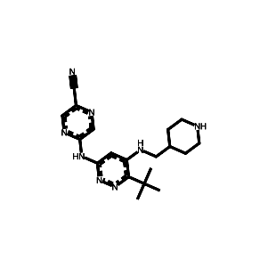 CC(C)(C)c1nnc(Nc2cnc(C#N)cn2)cc1NCC1CCNCC1